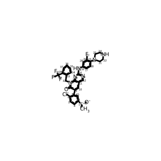 C[S+]([O-])c1ccc(Cl)c(-c2cc3cnc(Nc4ccc(N5CCNCC5)c(F)c4)nc3n(Cc3ccccc3C(F)(F)F)c2=O)c1